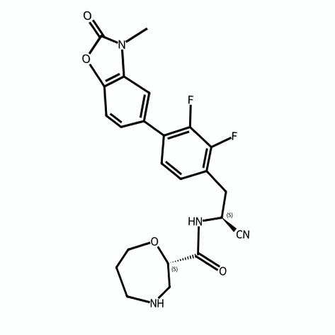 Cn1c(=O)oc2ccc(-c3ccc(C[C@@H](C#N)NC(=O)[C@@H]4CNCCCO4)c(F)c3F)cc21